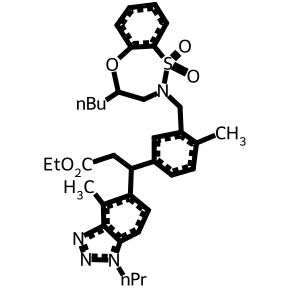 CCCCC1CN(Cc2cc(C(CC(=O)OCC)c3ccc4c(nnn4CCC)c3C)ccc2C)S(=O)(=O)c2ccccc2O1